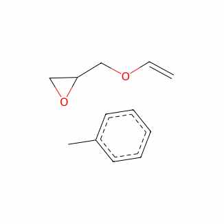 C=COCC1CO1.Cc1ccccc1